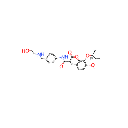 CC[C@H](C)Oc1c(OC)ccc2cc(C(=O)Nc3ccc(CNCCO)cc3)c(=O)oc12